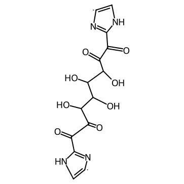 O=C(C(=O)C(O)C(O)C(O)C(O)C(=O)C(=O)c1n[c]c[nH]1)c1n[c]c[nH]1